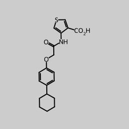 O=C(COc1ccc(C2CCCCC2)cc1)Nc1cscc1C(=O)O